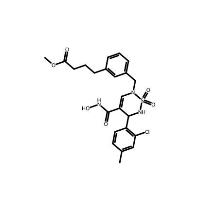 COC(=O)CCCc1cccc(CN2C=C(C(=O)NO)C(c3ccc(C)cc3Cl)NS2(=O)=O)c1